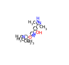 Cc1n[nH]c(C)c1-c1ccc(-c2ccc(OC3CCN(C)C(C)(C)C3C)nn2)c(O)c1